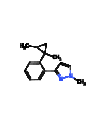 CC1CC1(C)c1ccccc1-c1ccn(C)n1